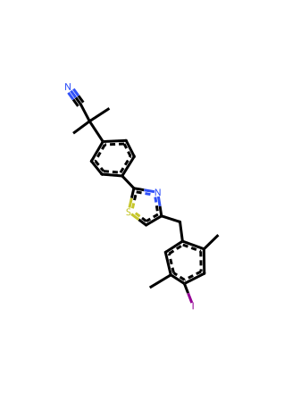 Cc1cc(Cc2csc(-c3ccc(C(C)(C)C#N)cc3)n2)c(C)cc1I